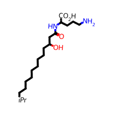 CC(C)CCCCCCCCCC(O)CC(=O)NC(CCCN)C(=O)O